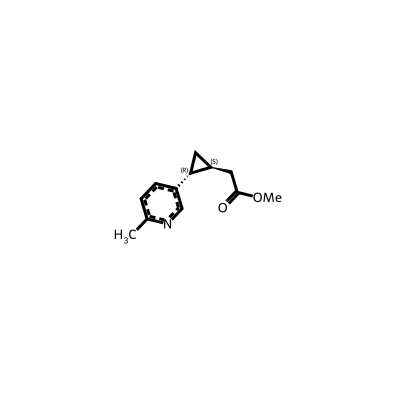 COC(=O)C[C@@H]1C[C@H]1c1ccc(C)nc1